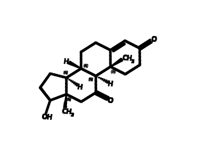 C[C@]12CCC(=O)C=C1CC[C@@H]1[C@@H]2C(=O)C[C@]2(C)C(O)CC[C@@H]12